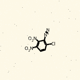 N#[N+]c1c(Cl)ccc([N+](=O)[O-])c1[N+](=O)[O-]